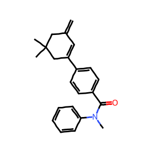 C=C1C=C(c2ccc(C(=O)N(C)c3ccccc3)cc2)CC(C)(C)C1